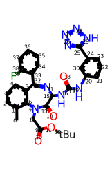 Cc1cccc2c1N(CC(=O)OC(C)(C)C)C(=O)C(NC(=O)Nc1cccc(-c3nnn[nH]3)c1)N=C2c1ccccc1F